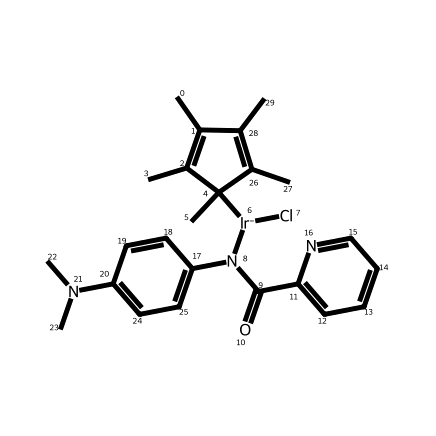 CC1=C(C)[C](C)([Ir-]([Cl])[N](C(=O)c2ccccn2)c2ccc(N(C)C)cc2)C(C)=C1C